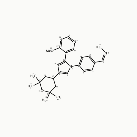 C/N=C\c1ccc(-n2cc(C3CC(C)(C)OC(C)(C)C3)nc2-c2cncnc2OC)cc1